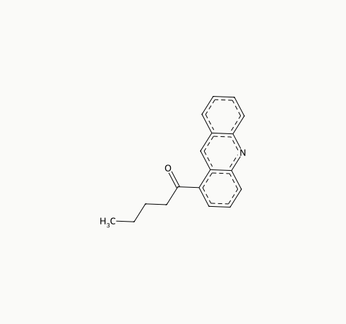 CCCCC(=O)c1cccc2nc3ccccc3cc12